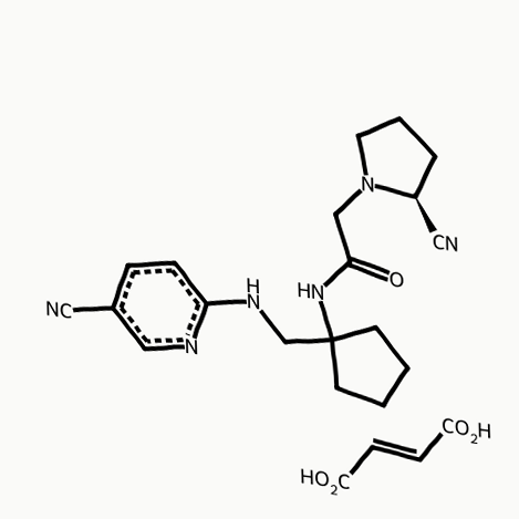 N#Cc1ccc(NCC2(NC(=O)CN3CCC[C@H]3C#N)CCCC2)nc1.O=C(O)/C=C/C(=O)O